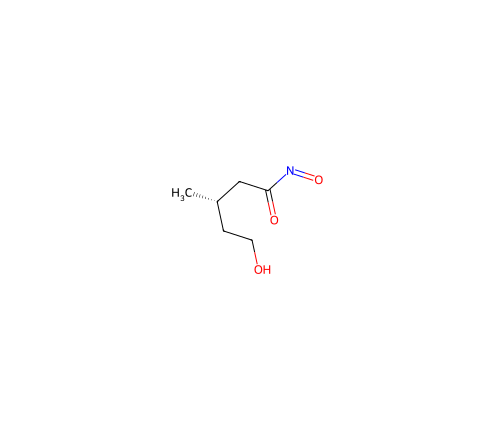 C[C@@H](CCO)CC(=O)N=O